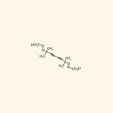 CCOC(=O)OOC(C)(C)C#CC#CC(C)(C)OOC(=O)OCC